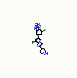 Cn1nc2cc(-c3cc(F)c4nc(C5CCNCC5)cn4c3)cc(F)c2n1